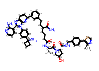 Cc1ncsc1-c1ccc(CNC(=O)[C@@H]2C[C@@H](O)CN2C(=O)[C@@H](NC(=O)CCCC(CCc2cccc(-c3ccc4nc(-c5cccnc5N)n(-c5ccc(C6(N)CCC6)cc5)c4n3)c2)C(N)=O)C(C)(C)C)cc1